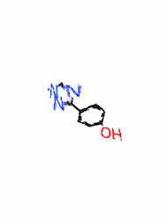 Oc1ccc(C2=N[N]C=N2)cc1